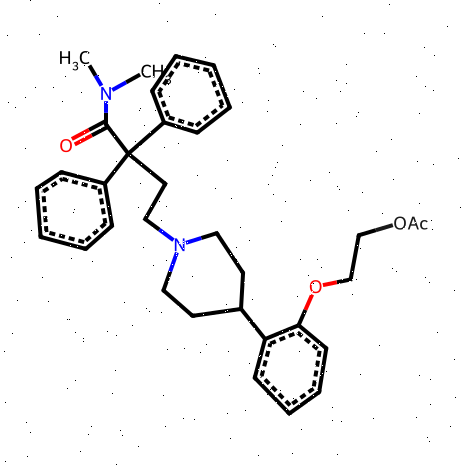 CC(=O)OCCOc1ccccc1C1CCN(CCC(C(=O)N(C)C)(c2ccccc2)c2ccccc2)CC1